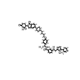 C[C@@H](NC(=O)c1cccc(NCc2nnc(-c3ccncn3)n2C)c1)c1ccc(OCCCCN2CCN(c3ccc4c(c3)CN(C3CCC(=O)NC3=O)C4=O)CC2)cc1